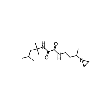 CC(C)CC(C)(C)NC(=O)C(=O)NCCC(C)N1CC1